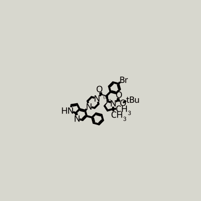 CC(C)(C)OC(=O)N1[C@H]([C@@H](C(=O)N2CCN(c3c(-c4ccccc4)cnc4[nH]ccc34)CC2)c2ccc(Br)cc2)CCC1(C)C